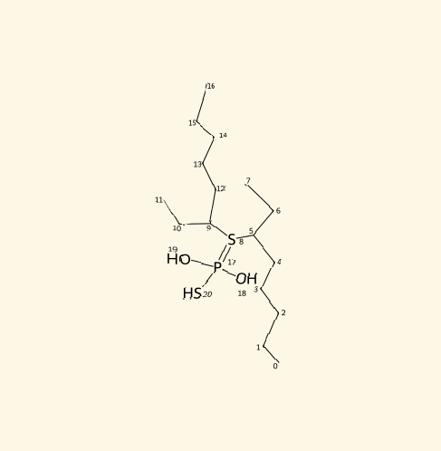 CCCCCC(CC)S(C(CC)CCCCC)=P(O)(O)S